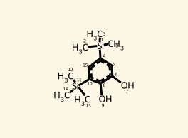 C[Si](C)(C)c1cc(O)c(O)c([Si](C)(C)C)c1